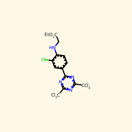 CCOC(=O)CNc1ccc(-c2nc(C(Cl)(Cl)Cl)nc(C(Cl)(Cl)Cl)n2)cc1Cl